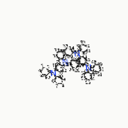 c1ccc(-n2c3ccccc3c3cc4c(cc32)c2ccccc2n4-c2ccccc2-c2ccccc2-n2c3ccccc3c3cc(-n4c5ccccc5c5ccccc54)ccc32)cc1